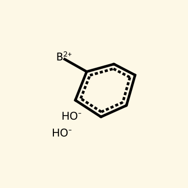 [B+2]c1ccccc1.[OH-].[OH-]